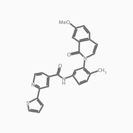 COc1ccc2ccn(-c3cc(NC(=O)c4ccnc(-c5cccs5)c4)ccc3C)c(=O)c2c1